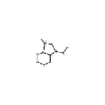 [CH2]CC1CN(C)C2CCCCC12